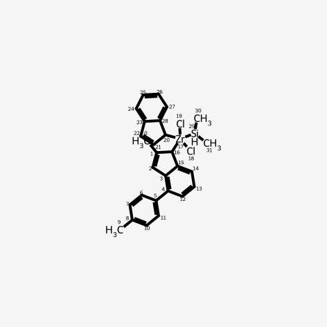 CC1=Cc2c(-c3ccc(C)cc3)cccc2[CH]1[Zr]([Cl])([Cl])([CH]1C=Cc2ccccc21)[SiH](C)C